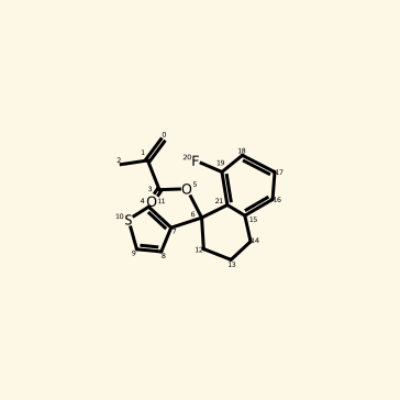 C=C(C)C(=O)OC1(c2ccsc2)CCCc2cccc(F)c21